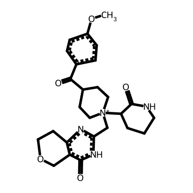 COc1ccc(C(=O)C2CC[N+](Cc3nc4c(c(=O)[nH]3)COCC4)(C3CCCNC3=O)CC2)cc1